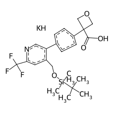 CC(C)(C)[Si](C)(C)OCc1cc(C(F)(F)F)ncc1-c1ccc(C2(C(=O)O)COC2)cc1.[KH]